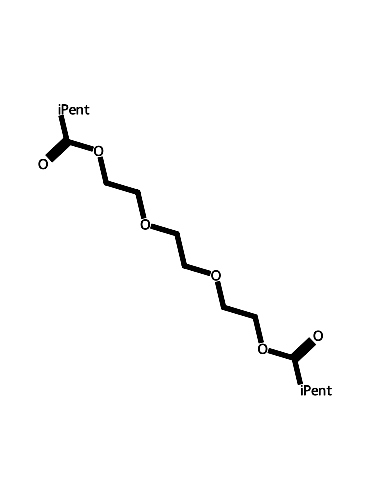 CCCC(C)C(=O)OCCOCCOCCOC(=O)C(C)CCC